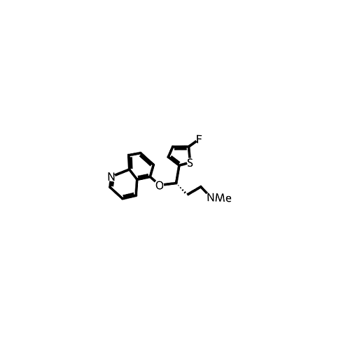 CNCC[C@H](Oc1cccc2ncccc12)c1ccc(F)s1